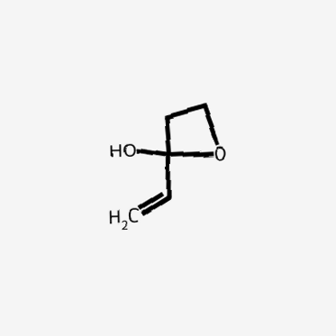 C=CC1(O)CCO1